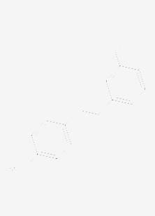 COc1ccc(OCc2cccc(C(C)(C)C)c2)cc1